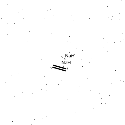 C=C.[NaH].[NaH]